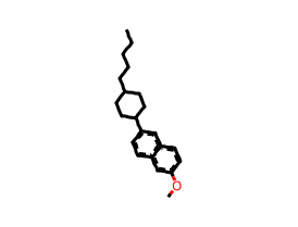 CCCCCC1CCC(c2ccc3cc(OC)ccc3c2)CC1